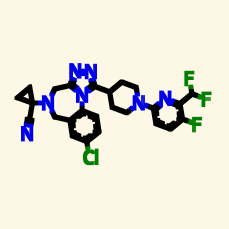 N#CC1(N2Cc3cc(Cl)ccc3-n3c(nnc3C3CCN(c4ccc(F)c(C(F)F)n4)CC3)C2)CC1